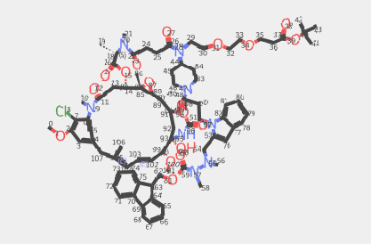 COc1cc2cc(c1Cl)N(C)C(=O)C[C@H](OC(=O)[C@H](C)N(C)C(=O)CCC(=O)N(CCOCCOCCC(=O)OC(C)(C)C)C1CCN(C(=O)CCn3c(CN(C)N(C)C(=O)OCC4c5ccccc5-c5ccccc54)cc4ccccc43)CC1)[C@]1(C)OC1[C@H](C)[C@@H]1C[C@@](O)(NC(=O)O1)[C@H](OC)/C=C/C=C(\C)C2